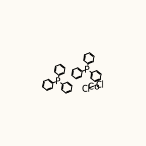 [Cl][Co][Cl].c1ccc(P(c2ccccc2)c2ccccc2)cc1.c1ccc(P(c2ccccc2)c2ccccc2)cc1